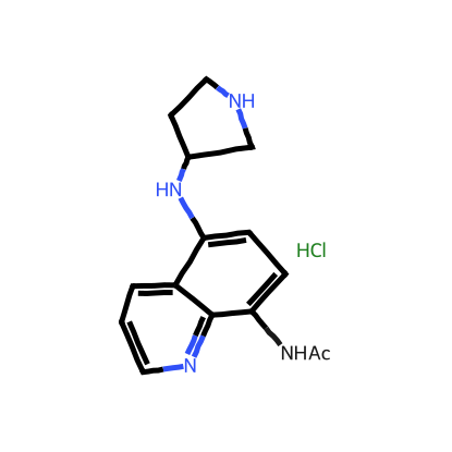 CC(=O)Nc1ccc(NC2CCNC2)c2cccnc12.Cl